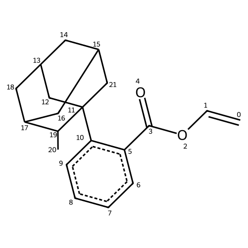 C=COC(=O)c1ccccc1C12CC3CC(CC(C3)C1C)C2